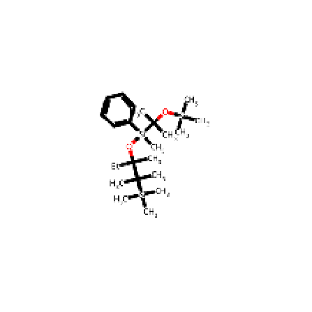 CCC(C)(O[Si](C)(c1ccccc1)C(C)(C)O[Si](C)(C)C)C(C)(C)[Si](C)(C)C